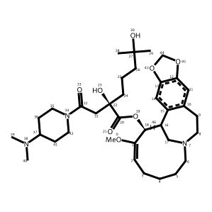 CO/C1=C/CCCCN2CCc3cc4c(cc3[C@@H](C2)[C@@H]1OC(=O)[C@@](O)(CCCC(C)(C)O)CC(=O)N1CCC(N(C)C)CC1)OCO4